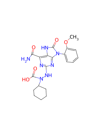 COc1ccccc1-n1c(=O)[nH]c2c(C(N)=O)nc(NN(C(=O)O)C3CCCCC3)nc21